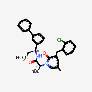 CCCC[C@@H](C(=O)N[C@@H](CC(=O)O)c1cccc(-c2ccccc2)c1)n1cc(C)cc(Cc2ccccc2Cl)c1=O